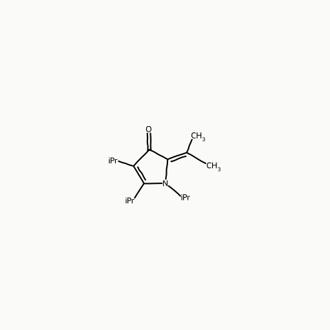 CC(C)=C1C(=O)C(C(C)C)=C(C(C)C)N1C(C)C